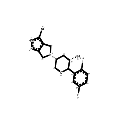 [C-]#[N+]c1[nH]nc2c1CN([C@H]1COC(c3cc(F)ccc3F)[C@@H](N)C1)C2